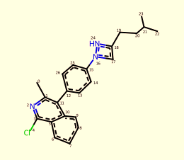 Cc1nc(Cl)c2ccccc2c1-c1ccc(-n2cc(CCC(C)C)[nH]2)cc1